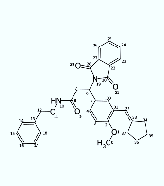 COc1ccc(C(CC(=O)NOCc2ccccc2)N2C(=O)c3ccccc3C2=O)cc1C=C1CCCC1